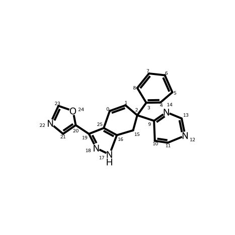 C1=CC(c2ccccc2)(c2ccncn2)Cc2[nH]nc(-c3cnco3)c21